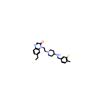 CCc1ccc2ncc(=O)n(CCN3CCC(NCc4ccc(C)c(F)c4)CC3)c2c1